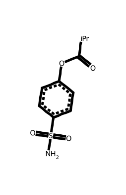 CC(C)C(=O)Oc1ccc(S(N)(=O)=O)cc1